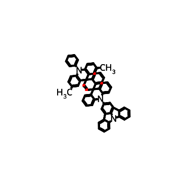 Cc1ccc2c(c1)C1(c3cc(C)ccc3N2c2ccccc2)c2ccccc2C2(c3ccccc3N(c3cc4c5ccccc5n5c6ccccc6c(c3)c45)c3ccccc32)c2ccccc21